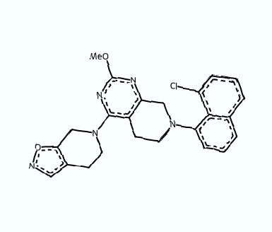 COc1nc2c(c(N3CCc4cnoc4C3)n1)CCN(c1cccc3cccc(Cl)c13)C2